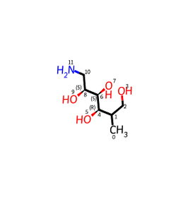 CC(CO)[C@@H](O)[C@H](O)[C@@H](O)CN